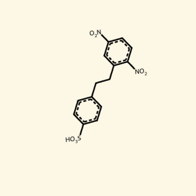 O=[N+]([O-])c1ccc([N+](=O)[O-])c(CCc2ccc(S(=O)(=O)O)cc2)c1